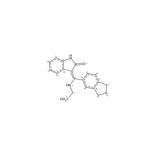 O=C(O)CNC(=C1C(=O)Nc2ccccc21)c1ccc2c(c1)COC2